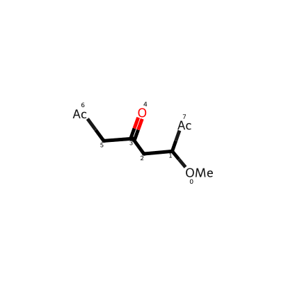 COC(CC(=O)CC(C)=O)C(C)=O